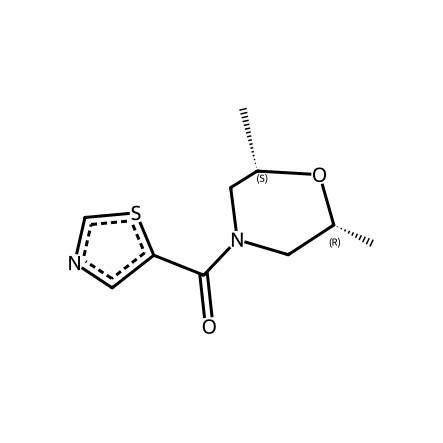 C[C@@H]1CN(C(=O)c2cncs2)C[C@H](C)O1